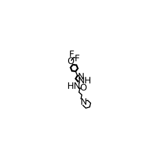 O=C(CCCN1CCCCC1)Nc1cc(-c2ccc(OC(F)F)cc2)n[nH]1